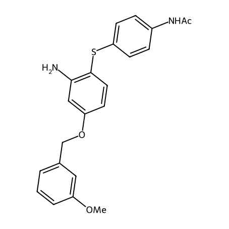 COc1cccc(COc2ccc(Sc3ccc(NC(C)=O)cc3)c(N)c2)c1